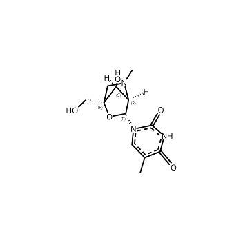 Cc1cn([C@@H]2O[C@@]3(CO)CN(C)[C@@H]2[C@@H]3O)c(=O)[nH]c1=O